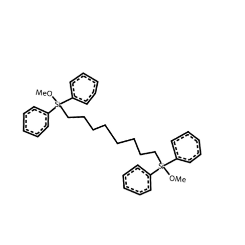 CO[Si](CCCCCCCC[Si](OC)(c1ccccc1)c1ccccc1)(c1ccccc1)c1ccccc1